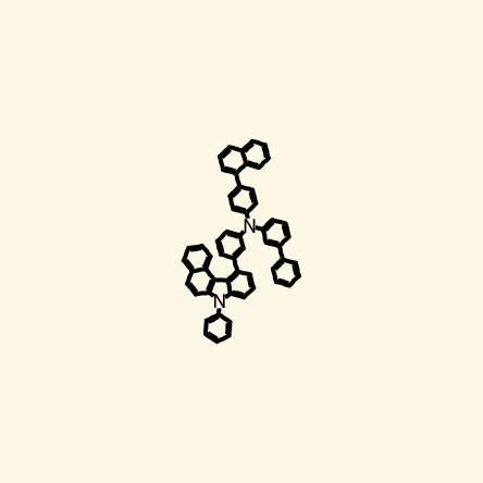 c1ccc(-c2cccc(N(c3ccc(-c4cccc5ccccc45)cc3)c3cccc(-c4cccc5c4c4c6ccccc6ccc4n5-c4ccccc4)c3)c2)cc1